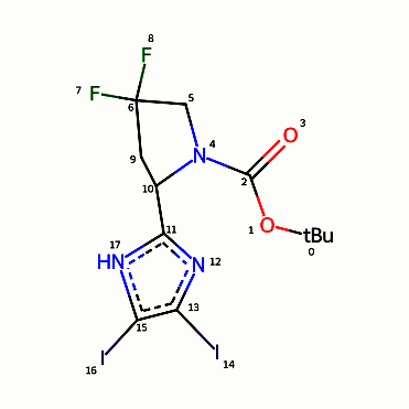 CC(C)(C)OC(=O)N1CC(F)(F)CC1c1nc(I)c(I)[nH]1